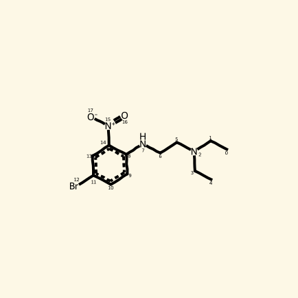 CCN(CC)CCNc1ccc(Br)cc1[N+](=O)[O-]